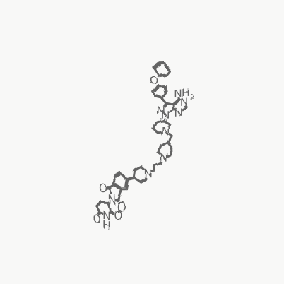 Nc1ncnc2c1c(-c1ccc(Oc3ccccc3)cc1)nn2[C@@H]1CCCN(CC2CCN(CCCN3CCC(c4ccc5c(c4)C(=O)N(C4CCC(=O)NC4=O)C5=O)CC3)CC2)C1